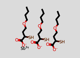 CCCCOCCC(S)C(=O)[O-].CCCCOCCC(S)C(=O)[O-].CCCCOCCC(S)C(=O)[O-].[Sb+3]